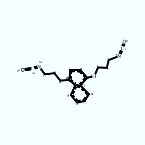 O=C=NCCCOc1ccc(CCCN=C=O)c2ccccc12